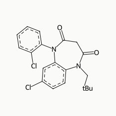 CC(C)(C)CN1C(=O)CC(=O)N(c2ccccc2Cl)c2cc(Cl)ccc21